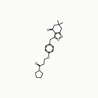 CC1(C)CC(=O)c2c(noc2Cc2ccc(OCCC(=O)N3CCCC3)cc2)C1